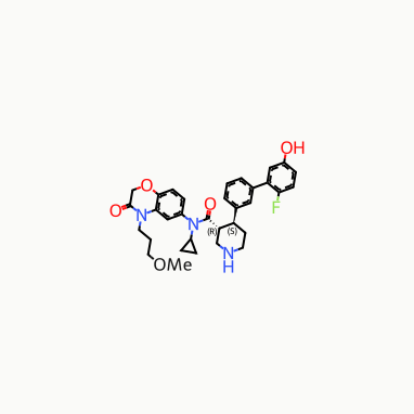 COCCCN1C(=O)COc2ccc(N(C(=O)[C@H]3CNCC[C@@H]3c3cccc(-c4cc(O)ccc4F)c3)C3CC3)cc21